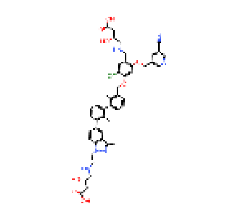 Cc1c(COc2cc(OCc3cncc(C#N)c3)c(CNC[C@@H](O)CC(=O)O)cc2Cl)cccc1-c1cccc(-c2ccc3c(c2)c(C)nn3CCNC[C@@H](O)CC(=O)O)c1C